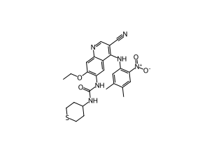 CCOc1cc2ncc(C#N)c(Nc3cc(C)c(C)cc3[N+](=O)[O-])c2cc1NC(=O)NC1CCSCC1